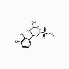 CS(=O)(=O)NCC(NC(=O)O)c1cccc(Cl)c1Cl